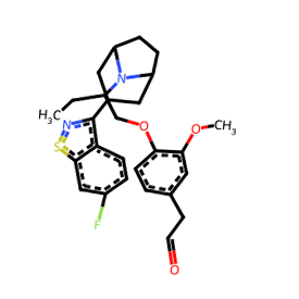 CCC(COc1ccc(CC=O)cc1OC)N1C2CCC1CC(c1nsc3cc(F)ccc13)C2